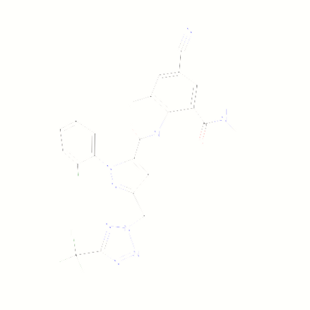 CNC(=O)c1cc(C#N)cc(C)c1NC(O)c1cc(Cn2nnc(C(F)(F)F)n2)nn1-c1ccccc1Cl